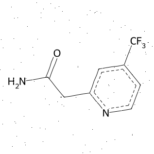 NC(=O)[CH]c1cc(C(F)(F)F)ccn1